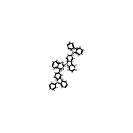 c1ccc(-n2c3ccccc3c3cc(-c4nc(-n5c6ccccc6c6cc(-n7c8ccccc8c8ccccc87)ccc65)nc5ccccc45)ccc32)cc1